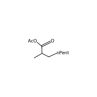 CCCCCCC(C)C(=O)OC(C)=O